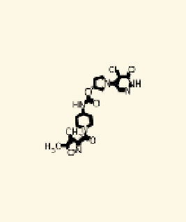 Cc1onc(C(=O)N2CCC(NC(=O)O[C@@H]3CCN(c4cn[nH]c(=O)c4Cl)C3)CC2)c1C